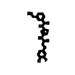 O=C(COc1ccc(Cl)c(F)c1)NC1CC2(NC(=O)c3cccc(CO)c3)CC1C2